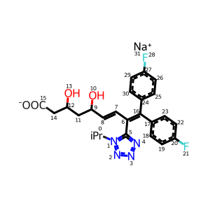 CC(C)n1nnnc1C(/C=C/C(O)CC(O)CC(=O)[O-])=C(c1ccc(F)cc1)c1ccc(F)cc1.[Na+]